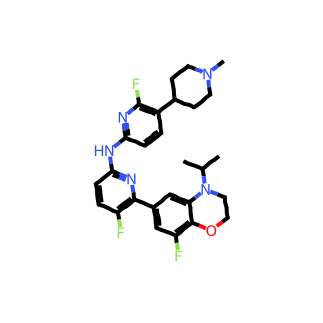 CC(C)N1CCOc2c(F)cc(-c3nc(Nc4ccc(C5CCN(C)CC5)c(F)n4)ccc3F)cc21